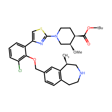 CO[C@H]1CN(c2nc(-c3cccc(Cl)c3OCc3ccc4c(c3)[C@@H](C)CNCC4)cs2)CC[C@H]1C(=O)OC(C)(C)C